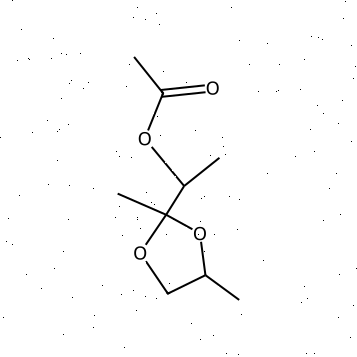 CC(=O)OC(C)C1(C)OCC(C)O1